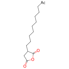 CC(=O)CCCCCCCCCC1CC(=O)OC1=O